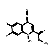 COC(=O)C1=CC(=C=O)c2cc(F)c(F)cc2N1C